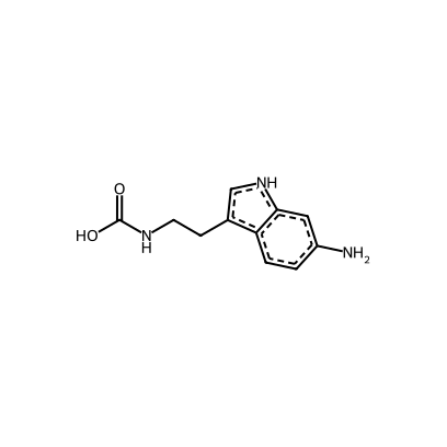 Nc1ccc2c(CCNC(=O)O)c[nH]c2c1